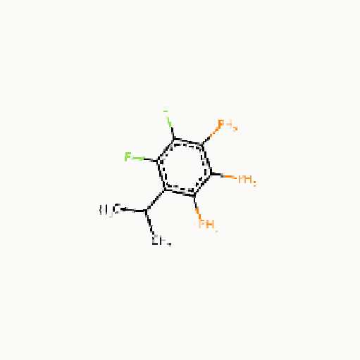 CC(C)c1c(F)c(F)c(P)c(P)c1P